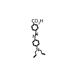 C=CCN(CC=C)c1ccc(/N=N/c2ccc(C(=O)O)cc2)cc1